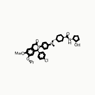 COc1cc2c(cc1OC(C)C)[C@H](c1ccc(Cl)cc1)N(c1ccc(N(C)C[C@H]3CC[C@H](C(=O)N[C@@H]4CCC[C@@H]4O)CC3)cc1)C(=O)C2